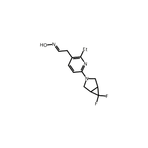 CCc1nc(N2CC3C(C2)C3(F)F)ccc1CC=NO